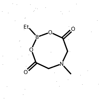 CCB1OC(=O)CN(C)CC(=O)O1